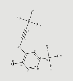 FC(F)(F)C#CCc1cc(C(F)(F)F)ccc1Cl